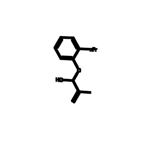 C=C(C)C(O)Oc1ccccc1CCC